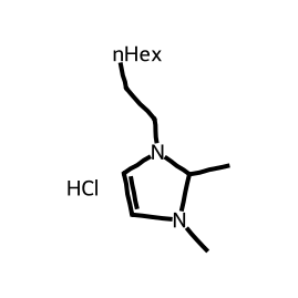 CCCCCCCCN1C=CN(C)C1C.Cl